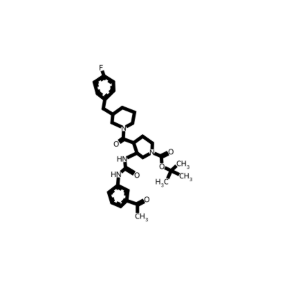 CC(=O)c1cccc(NC(=O)NC2CN(C(=O)OC(C)(C)C)CCC2C(=O)N2CCCC(Cc3ccc(F)cc3)C2)c1